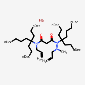 Br.C=CCN(C)N(C(=O)CC(=O)N(CC=C)C(CCCCCCCCCCCC)(CCCCCCCCCCCC)CCCCCCCCCCCCC)C(CCCCCCCCCCCC)(CCCCCCCCCCCC)CCCCCCCCCCCCC